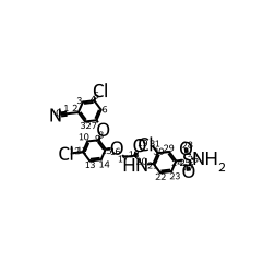 N#Cc1cc(Cl)cc(Oc2cc(Cl)ccc2OCC(=O)Nc2ccc(S(N)(=O)=O)cc2Cl)c1